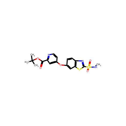 CNS(=O)(=O)c1nc2ccc(Oc3ccnc(C(=O)OC(C)(C)C)c3)cc2s1